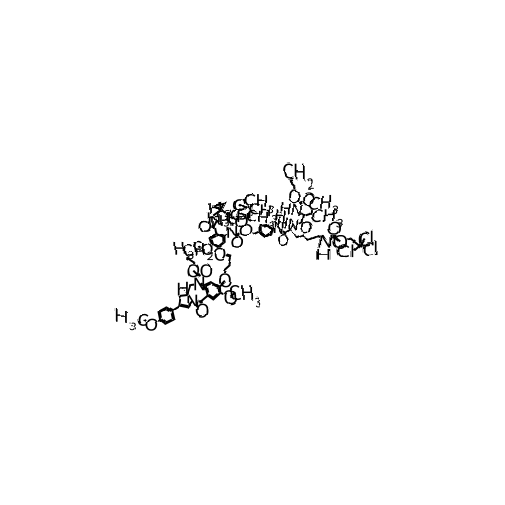 C=CCOC(=O)N[C@H](C(=O)N[C@@H](CCCCNC(=O)OCC(Cl)(Cl)Cl)C(=O)Nc1ccc(COC(=O)N2c3cc(OCCCOc4cc5c(cc4OC)C(=O)N4C=C(c6ccc(OC)cc6)C[C@H]4CN5C(=O)OCC=C)c(OC)cc3C(=O)N3CC4(CC4)C[C@H]3C2O[Si](C)(C)C(C)(C)C)cc1)C(C)C